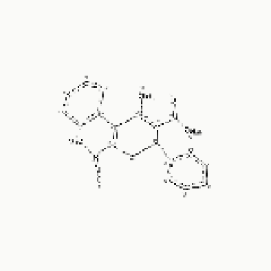 COC(=O)C1=C(c2ccccc2)C(N)=C(C(=O)OC)C(c2ccccc2)C1